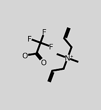 C=CC[N+](C)(C)CC=C.O=C([O-])C(F)(F)F